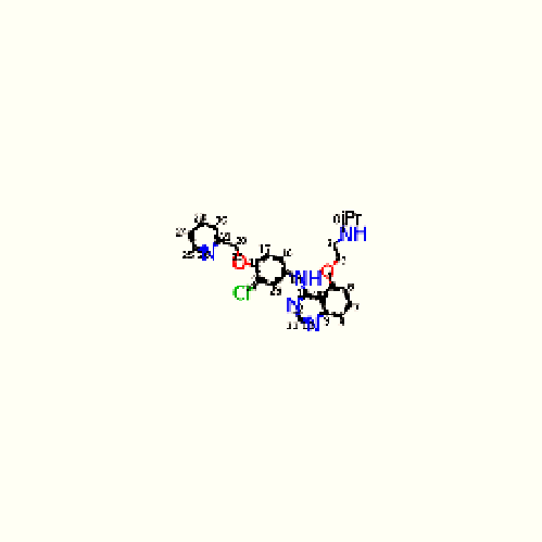 CC(C)NCCOc1cccc2ncnc(Nc3ccc(OCc4ccccn4)c(Cl)c3)c12